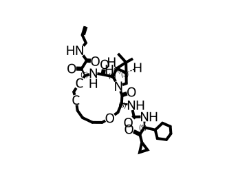 C=CCNC(=O)C(=O)[C@@H]1CCCCCCCOC[C@H](NC(=O)N[C@H](C(=O)C2CC2)C2CCCCC2)C(=O)N2C[C@H]3[C@@H]([C@H]2C(=O)N1)C3(C)C